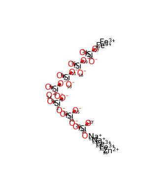 O=[Si]([O-])[O-].O=[Si]([O-])[O-].O=[Si]([O-])[O-].O=[Si]([O-])[O-].O=[Si]([O-])[O-].O=[Si]([O-])[O-].O=[Si]([O-])[O-].[Fe+3].[Fe+3].[Fe+3].[Fe+3].[Na+].[Na+].[O-2].[Zn+2]